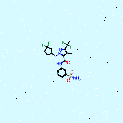 Cc1c(C(C)(F)F)nn(CC2CCC(F)(F)C2)c1C(=O)Nc1cccc(S(N)(=O)=O)c1